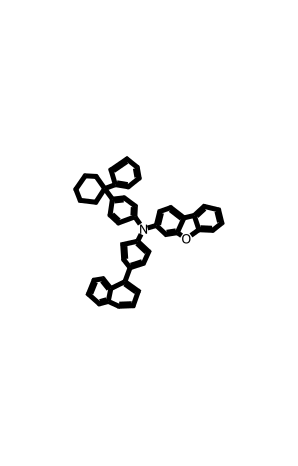 c1ccc(C2(c3ccc(N(c4ccc(-c5cccc6ccccc56)cc4)c4ccc5c(c4)oc4ccccc45)cc3)CCCCC2)cc1